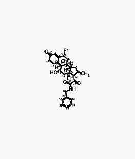 C[C@@H]1C[C@H]2[C@@H]3C[C@H](F)C4=CC(=O)C=C[C@]4(C)[C@H]3[C@@H](O)C[C@]2(C)[C@H]1C(=O)C(=O)NCc1ccccc1